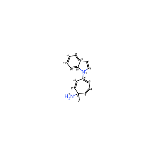 CC1(N)C=CC=C(n2ccc3ccccc32)C=C1